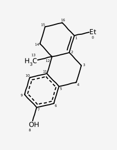 CCC1=C2CCc3cc(O)ccc3C2(C)CCC1